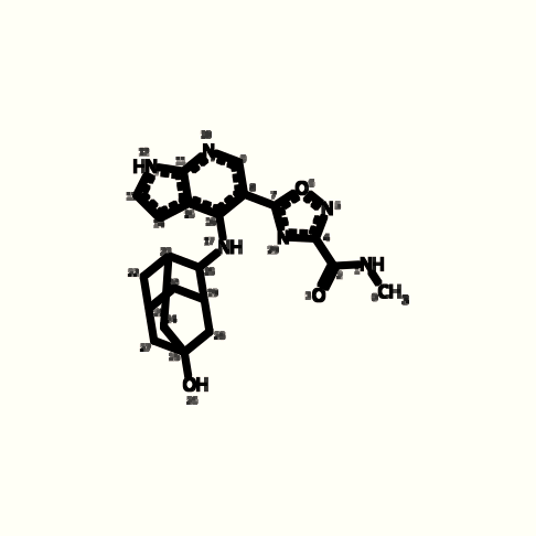 CNC(=O)c1noc(-c2cnc3[nH]ccc3c2NC2C3CC4CC2CC(O)(C4)C3)n1